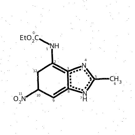 CCOC(=O)NC1=c2nc(C)[nH]c2=CC([N+](=O)[O-])C1